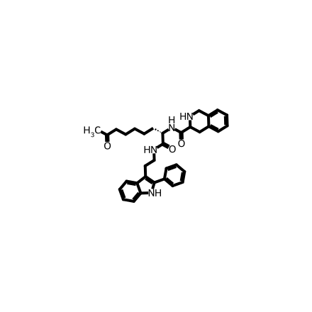 CC(=O)CCCCC[C@H](NC(=O)C1Cc2ccccc2CN1)C(=O)NCCc1c(-c2ccccc2)[nH]c2ccccc12